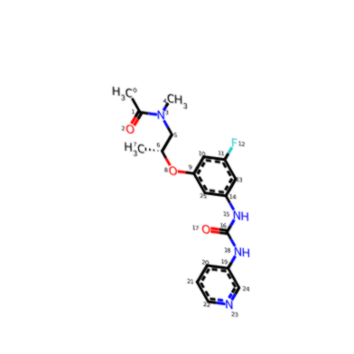 CC(=O)N(C)C[C@@H](C)Oc1cc(F)cc(NC(=O)Nc2cccnc2)c1